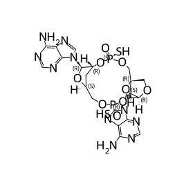 Nc1ncnc2c1ncn2[C@@H]1O[C@@]23CO[C@@H]1[C@@H]2O[P@](=O)(S)OC[C@@H]1C[C@@H](O[P@@](=O)(S)OC3)[C@H](n2cnc3c(N)ncnc32)O1